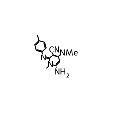 CNc1cc(N)n(C)c(=Nc2ccc(C)cc2)c1C#N